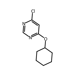 Clc1cc(OC2CCCCC2)ncn1